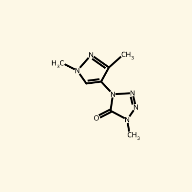 Cc1nn(C)cc1-n1nnn(C)c1=O